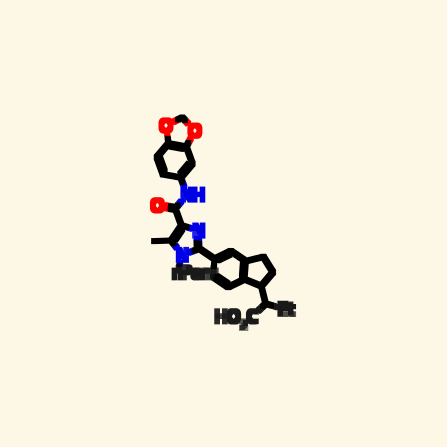 CCCCCn1c(-c2ccc3c(c2)CCC3C(CC)C(=O)O)nc(C(=O)Nc2ccc3c(c2)OCO3)c1C